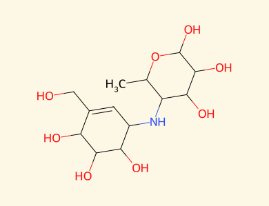 CC1OC(O)C(O)C(O)C1NC1C=C(CO)C(O)C(O)C1O